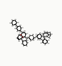 c1cccc(-c2ccccc2N(C2=CC=C(c3ccc4c(c3)-c3ccccc3C43C4CC5CC(C4)CC3C5)CC2)c2ccc(-c3ccc(-c4ccccc4)cc3)cc2)c#1